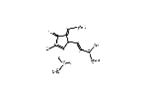 CCCCCC=C1C(=O)C(Cl)=CC1C=CC(O)CCCCC.CN(C)C=O